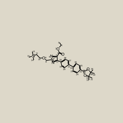 CCOC(=O)c1nn(COCC[Si](C)(C)C)nc1-c1ccc(-c2ccc(B3OC(C)(C)C(C)(C)O3)cc2)cc1